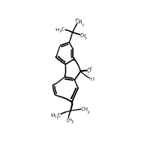 CC(C)(C)c1ccc2c(c1)C(Cl)(Cl)c1cc(C(C)(C)C)ccc1-2